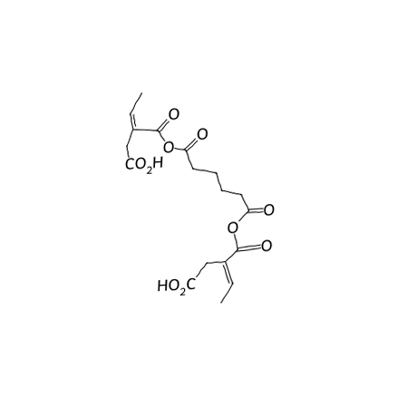 CC=C(CC(=O)O)C(=O)OC(=O)CCCCC(=O)OC(=O)C(=CC)CC(=O)O